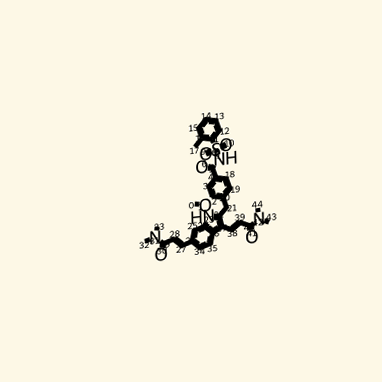 COc1cc(C(=O)NS(=O)(=O)c2ccccc2C)ccc1Cc1[nH]c2cc(C=CC(=O)N(C)C)ccc2c1C=CC(=O)N(C)C